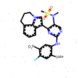 COc1cc(F)c([N+](=O)[O-])cc1Nc1ncc(N(C)S(C)(=O)=O)c(-c2cn3c4c(cccc24)CCC3)n1